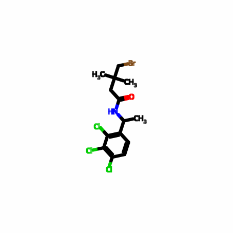 CC(NC(=O)CC(C)(C)CBr)c1ccc(Cl)c(Cl)c1Cl